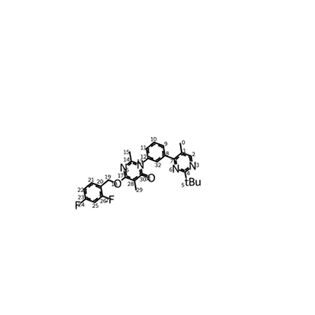 Cc1cnc(C(C)(C)C)nc1-c1cccc(-n2c(C)nc(OCc3ccc(F)cc3F)c(C)c2=O)c1